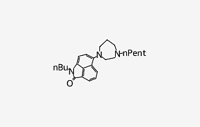 CCCCCN1CCCN(c2ccc3c4c(cccc24)C(=O)N3CCCC)CC1